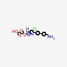 NCc1ccc(-c2ccc(-c3nc4nc(OC5COC6C(O)COC56)[nH]c4cc3Cl)cc2)cc1